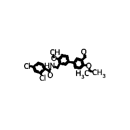 COc1ccc(-c2ccc(OC(C)C)c(C=O)c2)cc1CNC(=O)c1ccc(Cl)cc1Cl